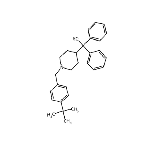 CC(C)(C)c1ccc(CN2CCC(C(O)(c3ccccc3)c3ccccc3)CC2)cc1